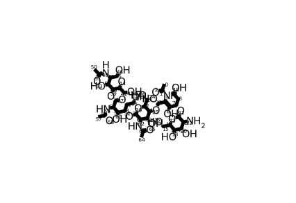 CC(=O)N/C(=C(/O)C(CCO)OC1OC(CO)C(O)C(O)C1N)C(O)OC1C(CO)OC(OC2C(CO)OC(OC3C(CO)OC(O)C(NC(C)=O)C3O)C(NC(C)=O)C2O)C(NC(C)=O)C1O